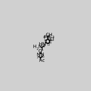 CC(=O)c1cnc(OC/C(N)=C/Nc2ccc(Cl)c(C(C)(F)F)c2)nc1